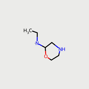 CC[N]C1CNCCO1